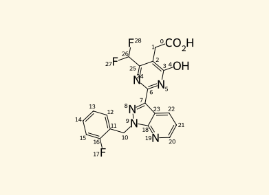 O=C(O)Cc1c(O)nc(-c2nn(Cc3ccccc3F)c3ncccc23)nc1C(F)F